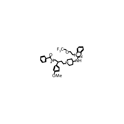 COc1ccc(C(CCN2CCC(Nc3nc4ccccc4n3CCOCC(F)(F)F)CC2)CN(C)C(=O)c2ccccc2)cc1